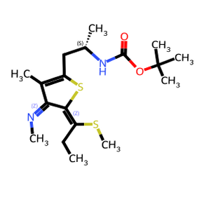 CC/C(SC)=C1/SC(C[C@H](C)NC(=O)OC(C)(C)C)=C(C)/C1=N/C